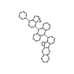 c1ccc(-c2ccc(-c3c4ccccc4c(-c4cccc5c4oc4cc6ccccc6cc45)c4ccccc34)c3sccc23)cc1